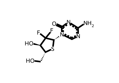 Nc1ncn([C@@H]2S[C@H](CO)[C@@H](O)C2(F)F)c(=O)n1